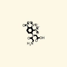 NCC(=O)N(CC(=O)O)c1ccc([N+](=O)[O-])c([N+](=O)[O-])c1[N+](=O)[O-]